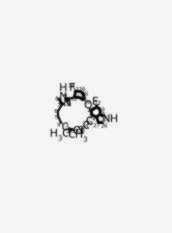 CC1(C)CCCCc2c[nH]c(n2)-c2cc(ccc2F)Oc2c(F)cc3[nH]ccc3c2CCSC1